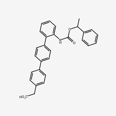 CC(OC(=O)Nc1ccccc1-c1ccc(-c2ccc(CC(=O)O)cc2)cc1)c1ccccc1